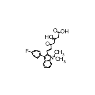 CC(C)n1c(C=CC(=O)C[C@@H](O)CC(=O)O)c(-c2ccc(F)cc2)c2ccccc21